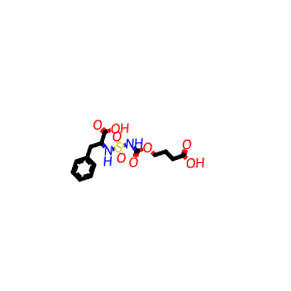 O=C(O)CCCOC(=O)NS(=O)(=O)NC(Cc1ccccc1)C(=O)O